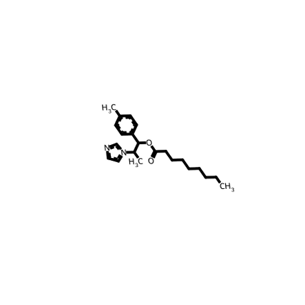 CCCCCCCCC(=O)OC(c1ccc(C)cc1)C(C)n1ccnc1